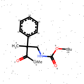 COC(=O)C(C)(CNC(=O)OC(C)(C)C)c1ccccc1